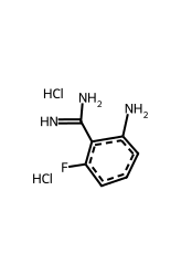 Cl.Cl.N=C(N)c1c(N)cccc1F